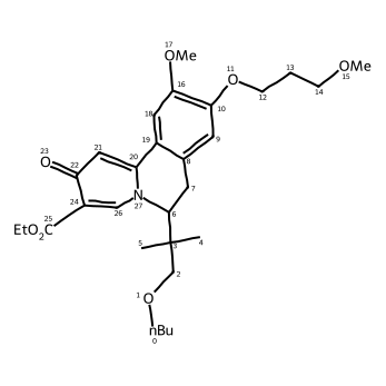 CCCCOCC(C)(C)C1Cc2cc(OCCCOC)c(OC)cc2-c2cc(=O)c(C(=O)OCC)cn21